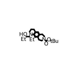 CCc1c2c(cc3c1N(CC(O)CC)CCC3)CCN(C(=O)OC(C)(C)C)CC2